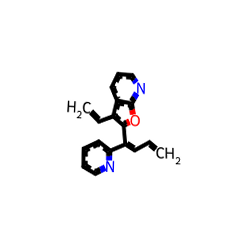 C=C/C=C(/c1ccccn1)c1oc2ncccc2c1C=C